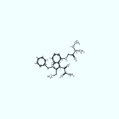 CCc1c(C(=O)C(N)=O)c2c(OCC(=O)N(C)OC)cccc2n1Cc1ccccc1